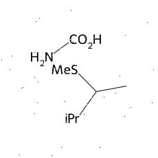 CSC(C)C(C)C.NC(=O)O